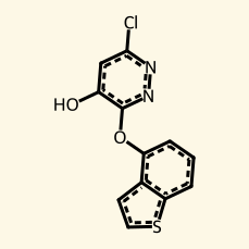 Oc1cc(Cl)nnc1Oc1cccc2sccc12